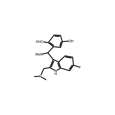 CNC(c1cc(O)ccc1C=O)c1c(CN(C)C)[nH]c2cc(F)ccc12